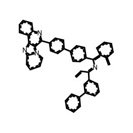 C=C/C(=N\C(c1ccc(-c2ccc(-c3nc4ccccc4c4nc5ccccn5c34)cc2)cc1)=c1\ccccc1=C)c1cccc(-c2ccccc2)c1